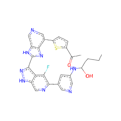 CCCC(O)Nc1cncc(-c2ncc3[nH]nc(-c4nc5c(-c6ccc(C(C)=O)s6)cncc5[nH]4)c3c2F)c1